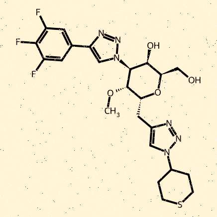 CO[C@@H]1[C@@H](n2cc(-c3cc(F)c(F)c(F)c3)nn2)[C@@H](O)[C@@H](CO)O[C@@H]1Cc1cn(C2CCSCC2)nn1